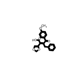 COc1ccc(C(=O)C(Cc2ccccc2)=C(C(=O)O)C2=COCO2)cc1